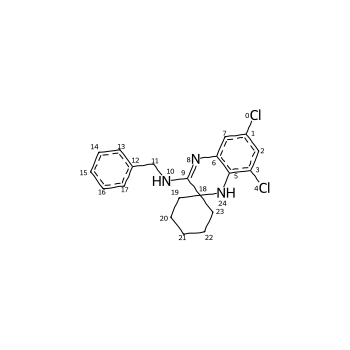 Clc1cc(Cl)c2c(c1)N=C(NCc1ccccc1)C1(CCCCC1)N2